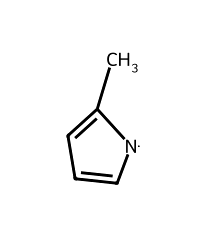 CC1=CC=C[N]1